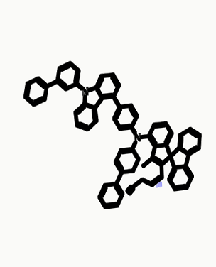 C#CC/C=C\C1=C(C)c2c(N(C3=CC=C(c4ccccc4)CC3)c3ccc(-c4cccc5c4c4ccccc4n5-c4cccc(-c5ccccc5)c4)cc3)cccc2C12c1ccccc1-c1ccccc12